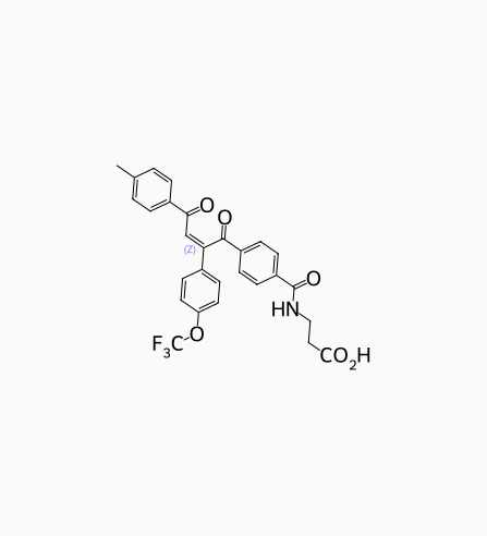 Cc1ccc(C(=O)/C=C(\C(=O)c2ccc(C(=O)NCCC(=O)O)cc2)c2ccc(OC(F)(F)F)cc2)cc1